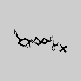 CC(C)(C)OC(=O)NC1CC2(C1)CN(c1cc(C#N)ccn1)C2